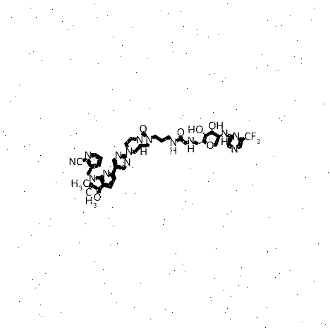 CC1(C)C(=O)c2ccc(-c3cnc(N4CCN5C(=O)N(CCCNC(=O)CNC[C@H]6OC[C@H](Nc7cncc(C(F)(F)F)n7)[C@@H](O)[C@H]6O)C[C@@H]5C4)nc3)nc2N1Cc1cccnc1C#N